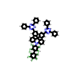 Fc1c(F)c(F)c(-c2c(F)c(F)c(N3c4ccccc4C(c4ccc(-c5nc(-c6ccccc6)nc(-c6ccccc6)n5)cc4)(c4ccc(-c5nc(-c6ccccc6)nc(-c6ccccc6)n5)cc4)c4ccccc43)c(F)c2F)c(F)c1F